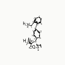 NCc1ccccc1-c1ccc(CC(N)C(=O)O)cc1